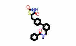 CN(Cc1cccc(-c2ccc(CC3SC(=O)NC3=O)cc2)c1)C(=O)c1cc[c]cc1